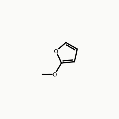 COc1[c]cco1